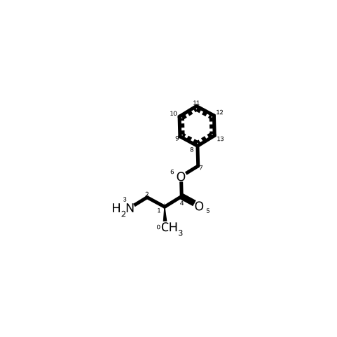 C[C@@H](CN)C(=O)OCc1ccccc1